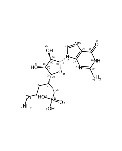 NOCCC(OP(=O)(O)O)[C@H]1O[C@@H](n2cnc3c(=O)[nH]c(N)nc32)[C@H](O)[C@@H]1O